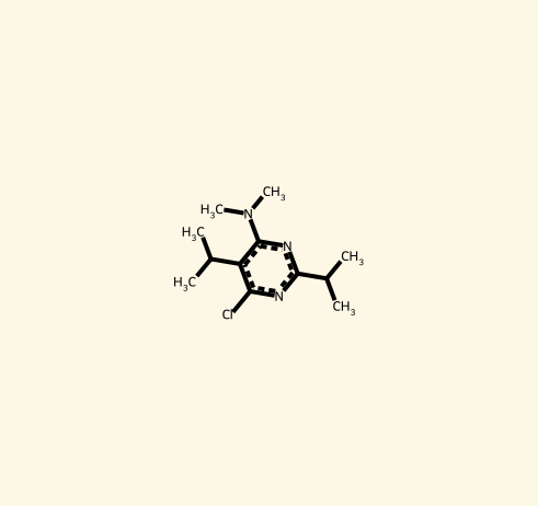 CC(C)c1nc(Cl)c(C(C)C)c(N(C)C)n1